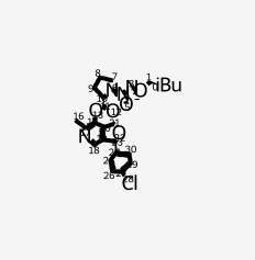 CC[C@H](C)CON=[N+]([O-])N1CCC[C@H]1C(=O)Oc1c(C)ncc2c1CO[C@H]2c1ccc(Cl)cc1